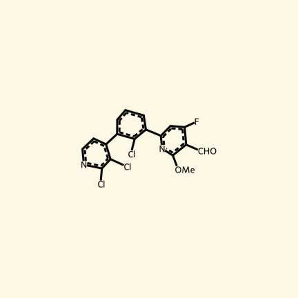 COc1nc(-c2cccc(-c3ccnc(Cl)c3Cl)c2Cl)cc(F)c1C=O